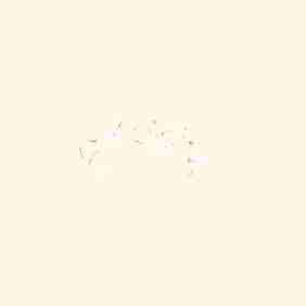 O=C(NCc1cccc(O)c1)c1ccc(C(=O)N[C@@H](CNC(=O)C2CCCCC2)C(=O)O)c(Cl)c1